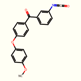 N#COc1ccc(Oc2ccc(C(=O)c3cccc(N=C=O)c3)cc2)cc1